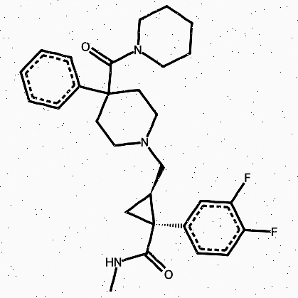 CNC(=O)[C@@]1(c2ccc(F)c(F)c2)C[C@H]1CN1CCC(C(=O)N2CCCCC2)(c2ccccc2)CC1